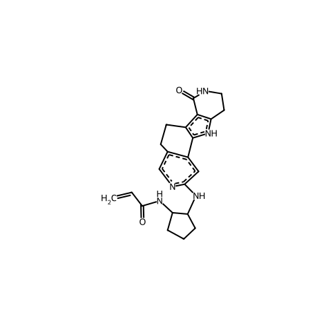 C=CC(=O)NC1CCCC1Nc1cc2c(cn1)CCc1c-2[nH]c2c1C(=O)NCC2